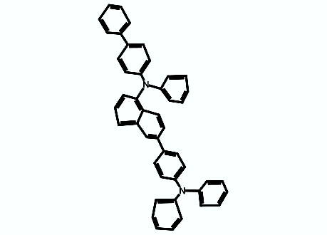 c1ccc(-c2ccc(N(c3ccccc3)c3cccc4cc(-c5ccc(N(c6ccccc6)c6ccccc6)cc5)ccc34)cc2)cc1